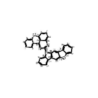 c1ccc2c(c1)Sc1cccc3nc(-n4c5ccccc5c5cc6oc7ccccc7c6cc54)nc-2c13